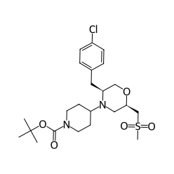 CC(C)(C)OC(=O)N1CCC(N2C[C@H](CS(C)(=O)=O)OC[C@@H]2Cc2ccc(Cl)cc2)CC1